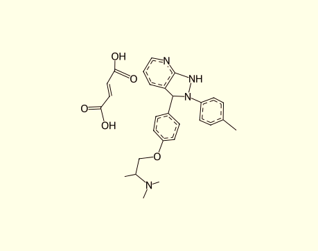 Cc1ccc(N2Nc3ncccc3C2c2ccc(OCC(C)N(C)C)cc2)cc1.O=C(O)C=CC(=O)O